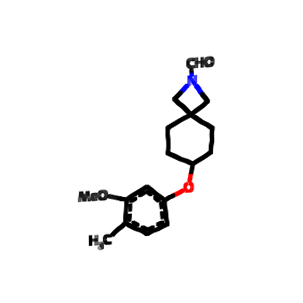 COc1cc(OC2CCC3(CC2)CN(C=O)C3)ccc1C